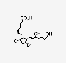 C[C@@H](O)CCC[C@H](O)/C=C/[C@@H]1[C@@H](C/C=C\CCCC(=O)O)[C@H](Cl)C[C@H]1Br